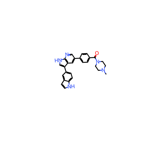 CN1CCN(C(=O)c2ccc(-c3cnc4[nH]cc(-c5ccc6[nH]ccc6c5)c4c3)cc2)CC1